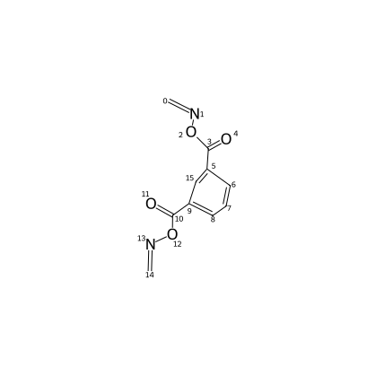 C=NOC(=O)c1cccc(C(=O)ON=C)c1